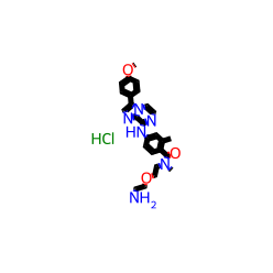 COc1ccc(-c2cnc3c(Nc4ccc(C(=O)N(C)CCOCCN)c(C)c4)nccn23)cc1.Cl